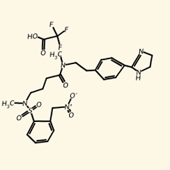 CN(CCc1ccc(C2=NCCN2)cc1)C(=O)CCCN(C)S(=O)(=O)c1ccccc1C[N+](=O)[O-].O=C(O)C(F)(F)F